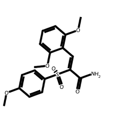 COc1ccc(S(=O)(=O)/C(=C\c2c(OC)cccc2OC)C(N)=O)cc1